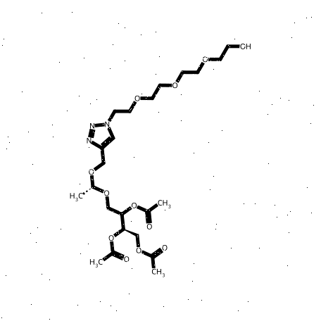 CC(=O)OC[C@@H](OC(C)=O)C(CO[C@H](C)OCc1cn(CCOCCOCCOCCO)nn1)OC(C)=O